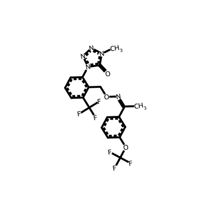 C/C(=N/OCc1c(-n2nnn(C)c2=O)cccc1C(F)(F)F)c1cccc(OC(F)(F)F)c1